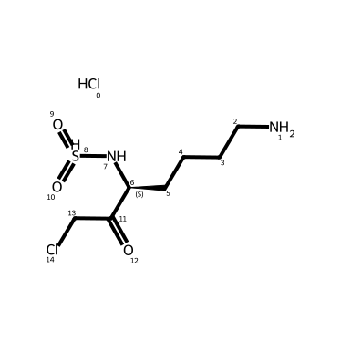 Cl.NCCCC[C@H](N[SH](=O)=O)C(=O)CCl